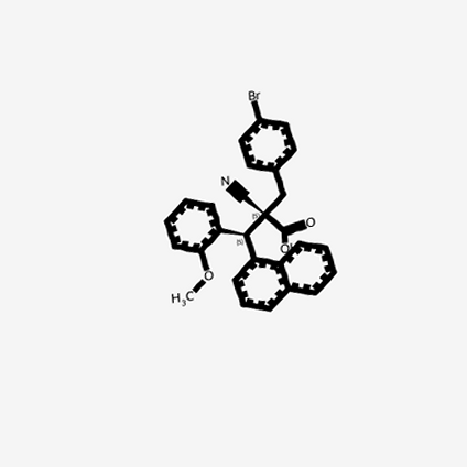 COc1ccccc1[C@H](c1cccc2ccccc12)[C@](C#N)(Cc1ccc(Br)cc1)C(=O)O